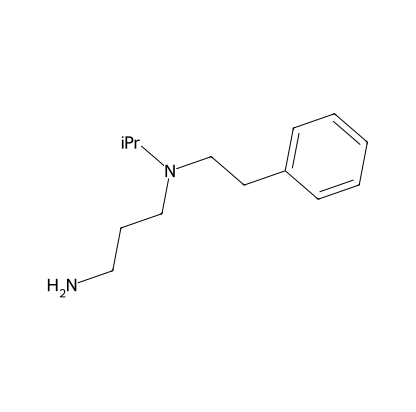 CC(C)N(CCCN)CCc1ccccc1